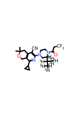 [2H]C([2H])([2H])C([2H])(C([2H])([2H])[2H])[C@@]1([2H])CN(c2nc(C3CC3)c3c(c2C#N)CC(C)(C)OC3)CCN1C(=O)CC(F)(F)F